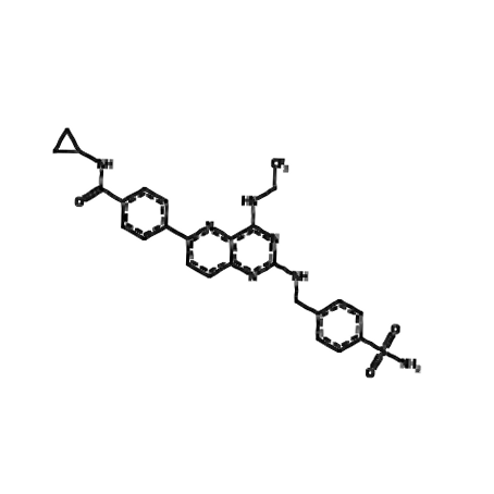 NS(=O)(=O)c1ccc(CNc2nc(NCC(F)(F)F)c3nc(-c4ccc(C(=O)NC5CC5)cc4)ccc3n2)cc1